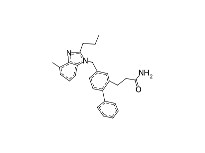 CCCc1nc2c(C)cccc2n1Cc1ccc(-c2ccccc2)c(CCC(N)=O)c1